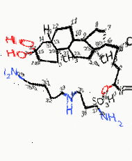 CC(C)C(CC[C@@H](C)[C@H]1CCC2C3CC[C@H]4CC(O)(O)CC[C@]4(C)C3CC[C@@]21C)OS(=O)(=O)O.NCCCCNCCCN